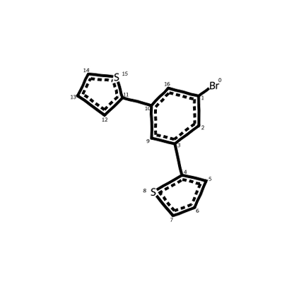 Brc1cc(-c2cccs2)cc(-c2cccs2)c1